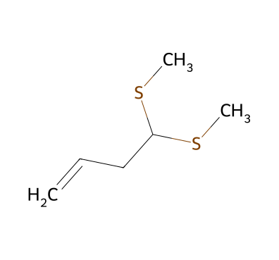 C=CCC(SC)SC